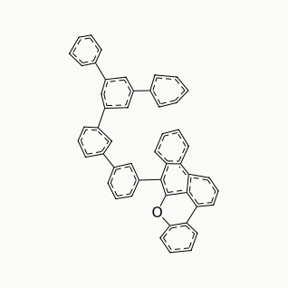 c1ccc(-c2cc(-c3ccccc3)cc(-c3cccc(-c4cccc(-c5c6c7c(cccc7c7ccccc57)-c5ccccc5O6)c4)c3)c2)cc1